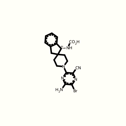 N#Cc1nc(Br)c(N)nc1N1CCC2(CC1)Cc1ccccc1[C@@H]2NC(=O)O